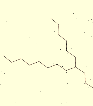 C[CH]CC(CCCCCC)CCCCCCCC